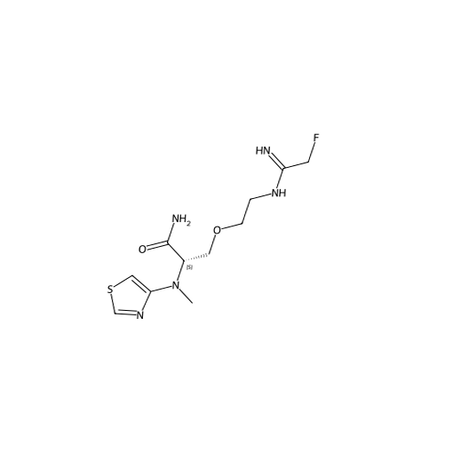 CN(c1cscn1)[C@@H](COCCNC(=N)CF)C(N)=O